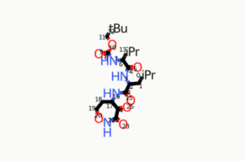 CC(C)CC(NC(=O)C(NC(=O)OCC(C)(C)C)C(C)C)C(=O)NC1CCONC(=O)C1=O